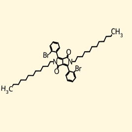 CCCCCCCCCCCCN1C(=O)C2=C(c3ccccc3Br)N(CCCCCCCCCCCC)C(=O)C2=C1c1ccccc1Br